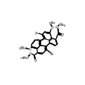 CCCCOC(=O)c1ccc2c3c(Br)cc(C(=O)OCCCC)c4c(OCCCC)ccc(c5c(Br)cc(OCCCC)c1c25)c43